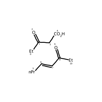 CCC(=O)CC(=O)O.CCCC=CC(=O)CC